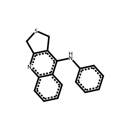 c1ccc(Nc2c3c(nc4ccccc24)CSC3)cc1